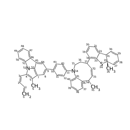 C=C/C=C\c1c(C)c2cc(-c3ccc(N4CCC(c5cccc6c5S[C@@]5(C)C=CC=CC65)/C=C\C(C)c5ccccc54)cc3)cc3c4ccccc4n1c23